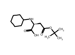 CC(C)(C)OC(=O)C[C@H](NC1CCCCC1)C(=O)O